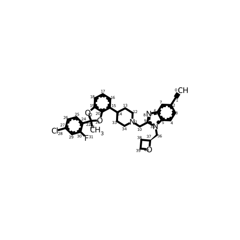 C#Cc1ccc2c(c1)nc(CN1CCC(c3cccc4c3OC(C)(c3ccc(Cl)cc3F)O4)CC1)n2C[C@@H]1CCO1